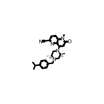 CC(C)c1ccc(CN2C[C@H](C)N(c3cc(=O)n(C)c4ccc(C#N)nc34)C[C@H]2C)cc1